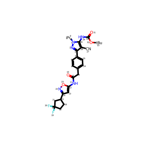 CC(C)n1nc(-c2ccc(CC(=O)Nc3cc(C4CCC(F)(F)C4)no3)cc2)c(C#N)c1NC(=O)OC(C)(C)C